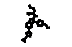 C=C/C=N\C(N)=C(/C)c1nc2ccc(-c3cnn(C4CC4)n3)nc2n1-c1ccc(CO)cc1